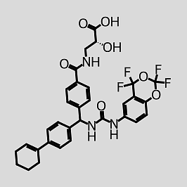 O=C(Nc1ccc2c(c1)C(F)(F)OC(F)(F)O2)NC(c1ccc(C(=O)NC[C@@H](O)C(=O)O)cc1)c1ccc(C2=CCCCC2)cc1